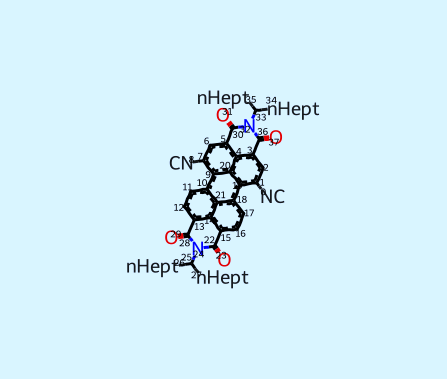 [C-]#[N+]c1cc2c3c(cc([N+]#[C-])c4c5ccc6c7c(ccc(c1c34)c75)C(=O)N(C(CCCCCCC)CCCCCCC)C6=O)C(=O)N(C(CCCCCCC)CCCCCCC)C2=O